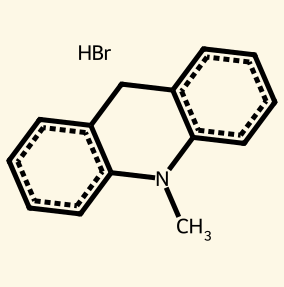 Br.CN1c2ccccc2Cc2ccccc21